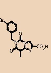 Cc1c(=O)n(Cc2cccc(Br)c2)c(=O)n2cc(C(=O)O)sc12